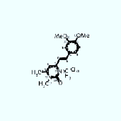 COc1ccc(C=Cc2cc(C)n(C)c(=O)[n+]2C)cc1OC.[Cl-]